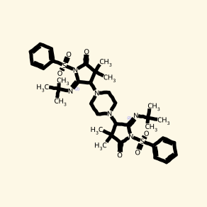 CC(C)(C)/N=C1/C(N2CCN(C3/C(=N/C(C)(C)C)N(S(=O)(=O)c4ccccc4)C(=O)C3(C)C)CC2)C(C)(C)C(=O)N1S(=O)(=O)c1ccccc1